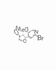 COc1cnc(Br)cc1C1CC(=O)C=CO1